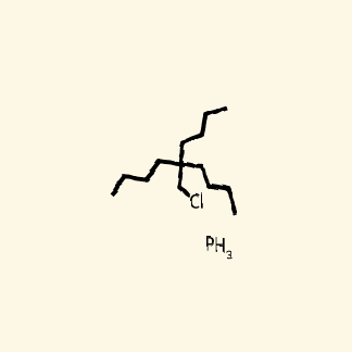 CCCCC(CCl)(CCCC)CCCC.P